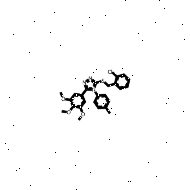 COc1cc(-c2nnc(SCc3ccccc3Cl)n2-c2ccc(C)cc2)cc(OC)c1OC